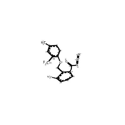 Cc1ccc(OCc2c(C)cccc2C(=O)N=[N+]=[N-])c(C(F)(F)F)c1